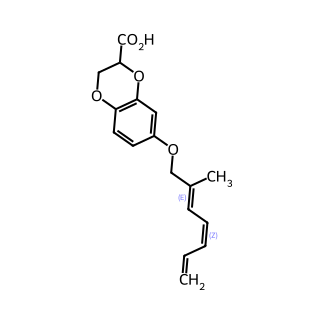 C=C/C=C\C=C(/C)COc1ccc2c(c1)OC(C(=O)O)CO2